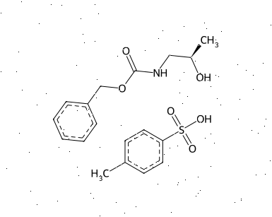 C[C@@H](O)CNC(=O)OCc1ccccc1.Cc1ccc(S(=O)(=O)O)cc1